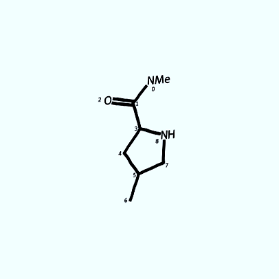 CNC(=O)C1CC(C)CN1